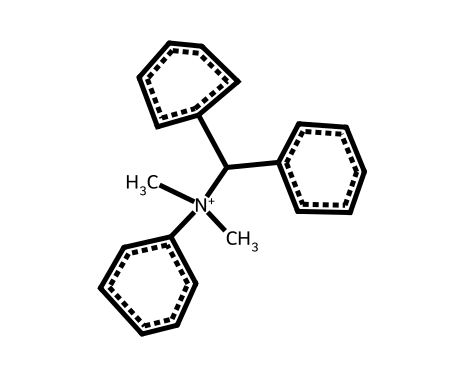 C[N+](C)(c1ccccc1)C(c1ccccc1)c1ccccc1